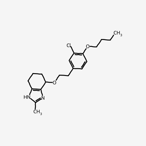 CCCCOc1ccc(CCOC2CCCc3[nH]c(C)nc32)cc1Cl